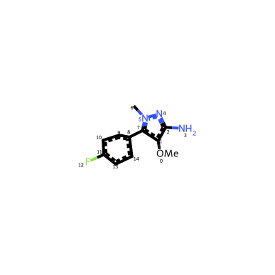 COc1c(N)nn(C)c1-c1ccc(F)cc1